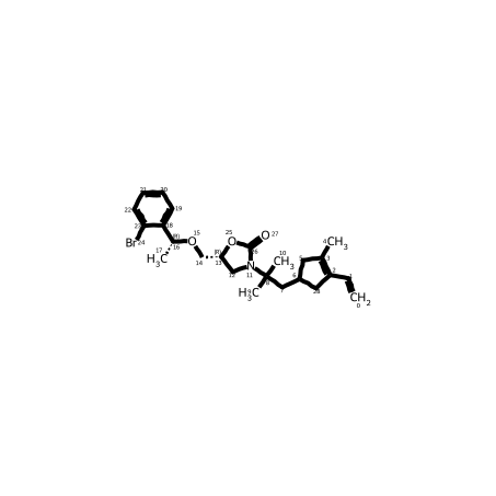 C=CC1=C(C)CC(CC(C)(C)N2C[C@H](CO[C@H](C)c3ccccc3Br)OC2=O)C1